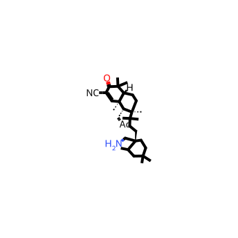 CC(=O)C[C@@H]1[C@@]2(C)C=C(C#N)C(=O)C(C)(C)[C@@H]2CC[C@@]1(C)C(C)(C)CC[C@@]1(CN)CCC(C)(C)CC1C